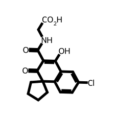 O=C(O)CNC(=O)C1=C(O)c2cc(Cl)ccc2C2(CCCC2)C1=O